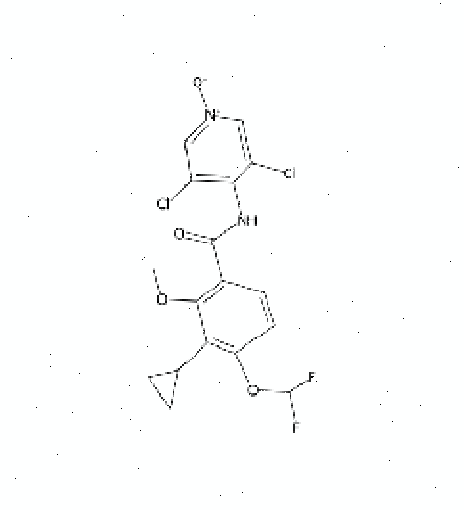 COc1c(C(=O)Nc2c(Cl)c[n+]([O-])cc2Cl)ccc(OC(F)F)c1C1CC1